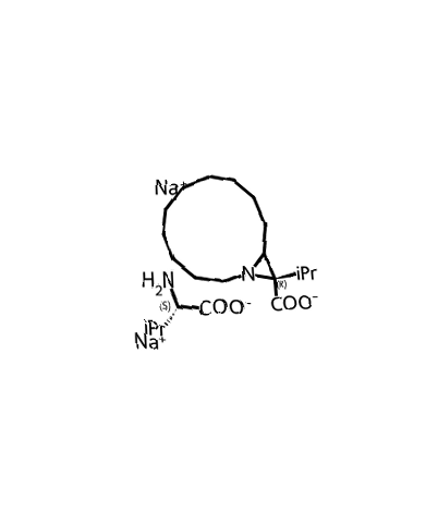 CC(C)[C@H](N)C(=O)[O-].CC(C)[C@]1(C(=O)[O-])C2CCCCCCCCCCN21.[Na+].[Na+]